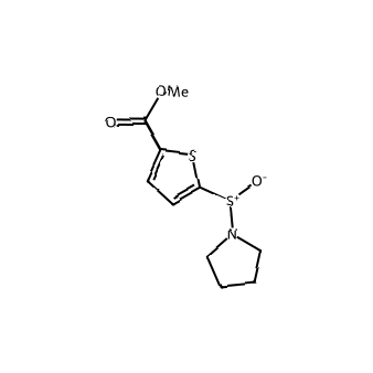 COC(=O)c1ccc([S+]([O-])N2CCCC2)s1